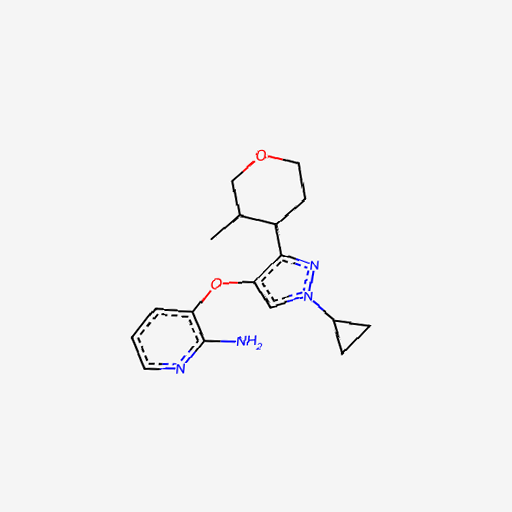 CC1COCCC1c1nn(C2CC2)cc1Oc1cccnc1N